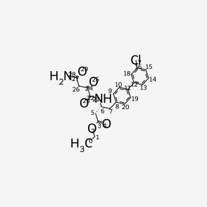 CCOC(=O)C[C@@H](Cc1ccc(-c2cccc(Cl)c2)cc1)NC(=O)C(=O)CC(N)=O